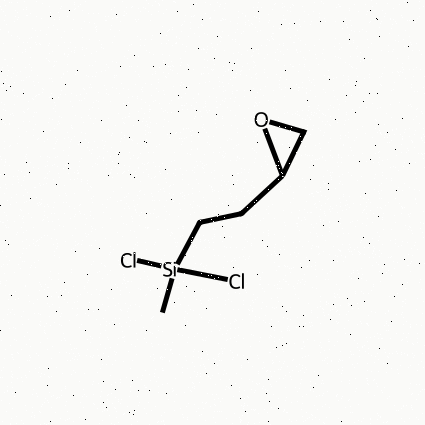 C[Si](Cl)(Cl)CCC1CO1